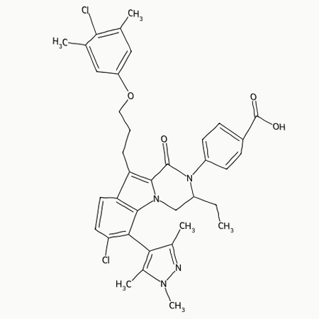 CCC1Cn2c(c(CCCOc3cc(C)c(Cl)c(C)c3)c3ccc(Cl)c(-c4c(C)nn(C)c4C)c32)C(=O)N1c1ccc(C(=O)O)cc1